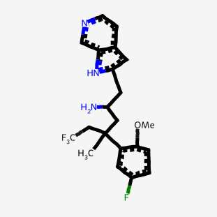 COc1ccc(F)cc1C(C)(CC(N)Cc1cc2ccncc2[nH]1)CC(F)(F)F